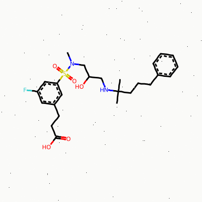 CN(CC(O)CNC(C)(C)CCCc1ccccc1)S(=O)(=O)c1cc(F)cc(CCC(=O)O)c1